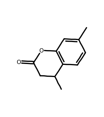 Cc1ccc2c(c1)OC(=O)CC2C